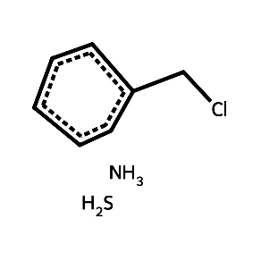 ClCc1ccccc1.N.S